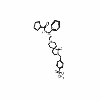 CS(=O)(=O)c1ccc(CN2CCC3(CCN(CC[C@H](NC(=O)C4CCCC4)c4ccccc4)CC3)C2=O)cc1